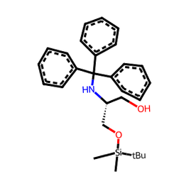 CC(C)(C)[Si](C)(C)OC[C@@H](CO)NC(c1ccccc1)(c1ccccc1)c1ccccc1